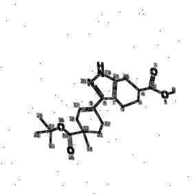 COC(=O)C1CCc2c(C3=CCC(C)(C(=O)OC(C)(C)C)CC3)n[nH]c2C1